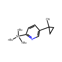 CCC[CH2][Sn]([CH2]CCC)([CH2]CCC)[c]1ccc(C2(C#N)CC2)cn1